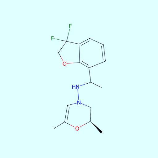 CC1=CN(NC(C)c2cccc3c2OCC3(F)F)C[C@@H](C)O1